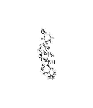 COc1cccc(-c2ccc(=O)n(C(C)C(=O)Nc3cncc(C(F)(F)F)c3)n2)c1